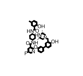 Cc1ccc(O)c(C(=O)N[C@H]2CC[C@H](NC(=O)c3cc(F)cnc3Oc3cccc(-c4ccc(O)c(CN5C[C@@H](C)N[C@@H](C)C5)c4)c3)CC2)c1